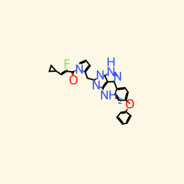 Nc1nc(Cc2cccn2C(=O)C(F)=CC2CC2)nc2[nH]nc(-c3ccc(Oc4ccccc4)cc3)c12